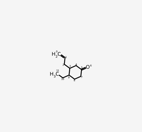 C=CCC1CC(=O)CCC1CC